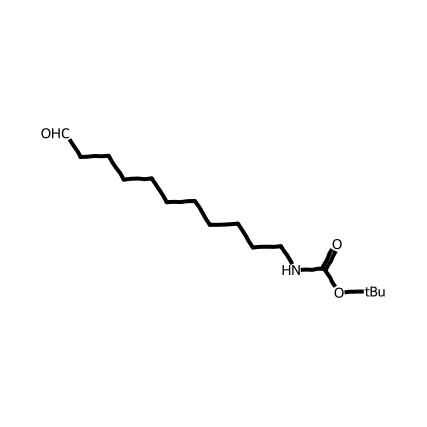 CC(C)(C)OC(=O)NCCCCCCCCCCC=O